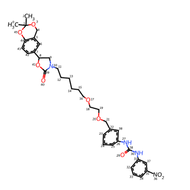 CC1(C)OCc2cc(C3CN(CCCCCCOCCOCc4cccc(NC(=O)Nc5cccc([N+](=O)[O-])c5)c4)C(=O)O3)ccc2O1